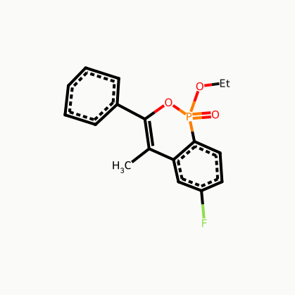 CCOP1(=O)OC(c2ccccc2)=C(C)c2cc(F)ccc21